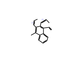 C=Cc1c(/C=C\C)c(/C=C\C)c(C)c2ccccc12